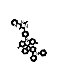 Cc1ccc2c(c1)C(c1ccccc1)(c1ccc3c(c1)c1ccccc1n3-c1ccccc1)c1cc(C)ccc1N2c1ccc(-c2nc(C)nc(-c3ccccn3)c2C)cc1